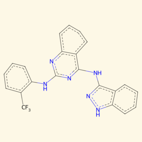 FC(F)(F)c1ccccc1Nc1nc(Nc2n[nH]c3ccccc23)c2ccccc2n1